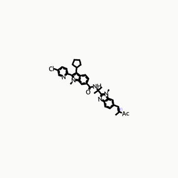 CC(=O)/C(C)=C/c1ccc2nc(C(C)(C)NC(=O)c3ccc4c(C5CCCC5)c(-c5ccc(Cl)cn5)n(C)c4c3)n(C)c2c1